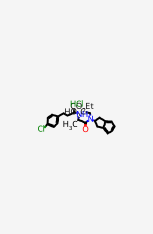 CCOC(=O)C(CCc1ccc(Cl)cc1)N[C@@H](C)C(=O)N(CC(=O)O)C1Cc2ccccc2C1.Cl